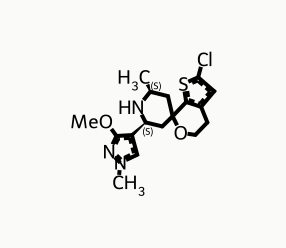 COc1nn(C)cc1[C@@H]1CC2(C[C@H](C)N1)OCCc1cc(Cl)sc12